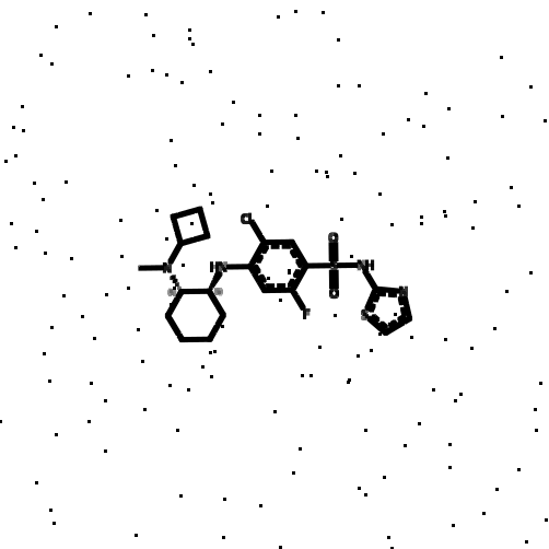 CN(C1CCC1)[C@H]1CCCC[C@@H]1Nc1cc(F)c(S(=O)(=O)Nc2nccs2)cc1Cl